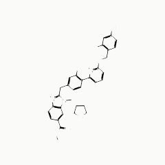 COC(=O)c1ccc2nc(Cc3ccc(-c4cccc(OCc5ccc(Cl)cc5F)n4)c(Cl)c3)n(C[C@@H]3CCOC3)c2c1